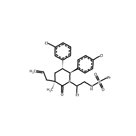 C=CC[C@@]1(C)C[C@H](c2cccc(Cl)c2)[C@@H](c2ccc(Cl)cc2)N(C(CC)CNS(=O)(=O)C(C)C)C1=O